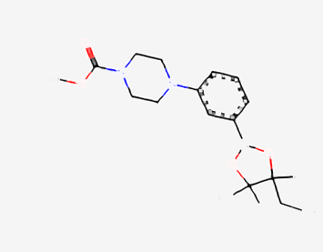 CC(C)(C)CC1(C)OB(c2cccc(N3CCN(C(=O)OC(C)(C)C)CC3)c2)OC1(C)C